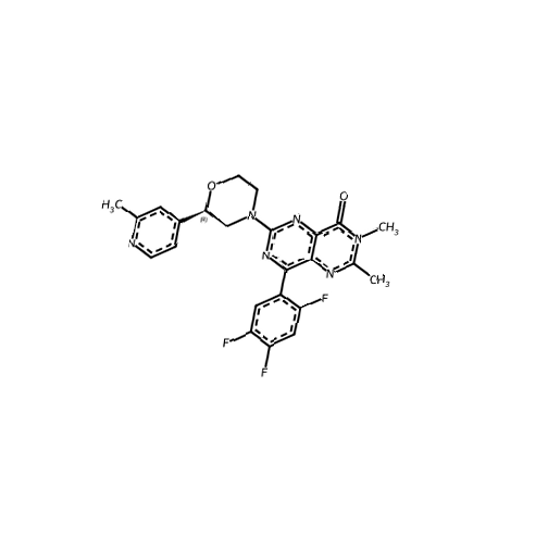 Cc1cc([C@@H]2CN(c3nc(-c4cc(F)c(F)cc4F)c4nc(C)n(C)c(=O)c4n3)CCO2)ccn1